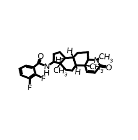 CN1C(=O)C=C[C@@]2(C)C1CC[C@@H]1[C@H]2CC[C@]2(C)C(NC(=O)c3cccc(F)c3F)CC[C@@H]12